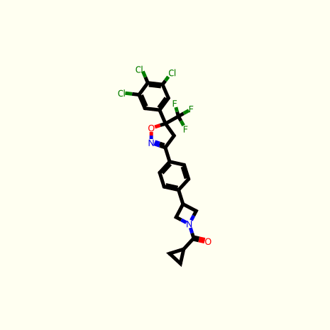 O=C(C1CC1)N1CC(c2ccc(C3=NOC(c4cc(Cl)c(Cl)c(Cl)c4)(C(F)(F)F)C3)cc2)C1